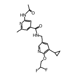 CC(=O)Nc1cc(C(=O)NCc2cnc(OCC(F)F)c(C3CC3)c2)cc(C)n1